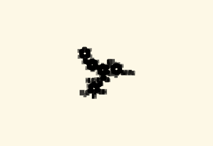 CC(=O)N[C@H]1CC[C@H](N(C)c2cc(-c3ccc(CN4CCOCC4)cc3)cc(C(=O)NCC3=C(C)C=C(C)NC3O)c2C)CC1